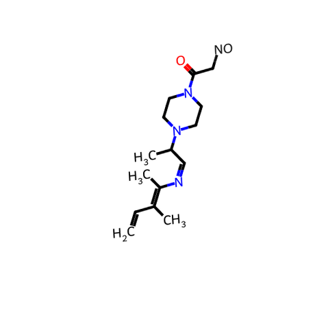 C=C/C(C)=C(C)/N=C\C(C)N1CCN(C(=O)CN=O)CC1